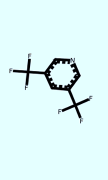 FC(F)(F)c1[c]ncc(C(F)(F)F)c1